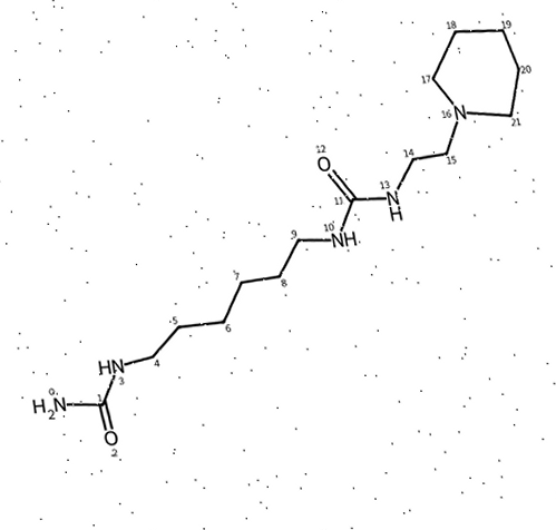 NC(=O)NCCCCCCNC(=O)NCCN1CCCCC1